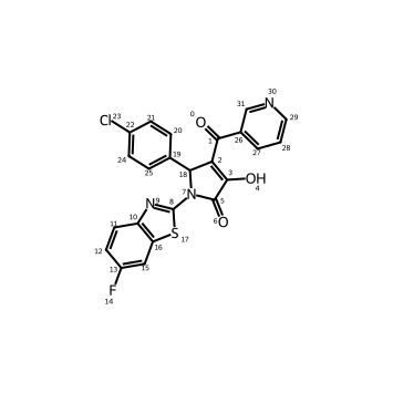 O=C(C1=C(O)C(=O)N(c2nc3ccc(F)cc3s2)C1c1ccc(Cl)cc1)c1cccnc1